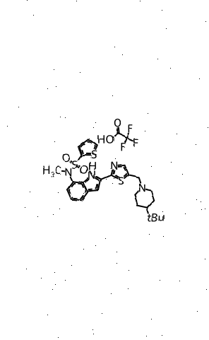 CN(c1cccc2cc(-c3ncc(CN4CCC(C(C)(C)C)CC4)s3)[nH]c12)S(=O)(=O)c1cccs1.O=C(O)C(F)(F)F